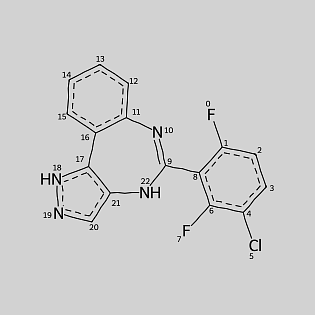 Fc1ccc(Cl)c(F)c1C1=Nc2ccccc2-c2[nH]ncc2N1